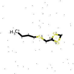 CCCCSCC1SCS1